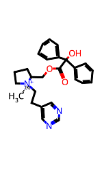 C[N@+]1(CCc2cncnc2)CCCC1COC(=O)C(O)(c1ccccc1)c1ccccc1